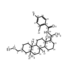 CCOC[C@H]1CC[C@@H]2C3CC[C@@]4(C)C(CCC[C@@H]4[C@H](C)NC(=O)c4ccc(F)cc4F)[C@@H]3CC[C@]2(C)C1